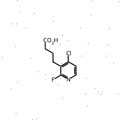 O=C(O)CCCc1c(Cl)ccnc1F